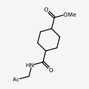 COC(=O)C1CCC(C(=O)NCC(C)=O)CC1